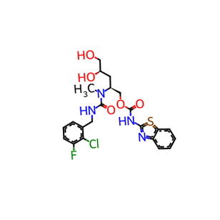 CN(C(=O)NCc1cccc(F)c1Cl)[C@H](COC(=O)Nc1nc2ccccc2s1)C[C@@H](O)CO